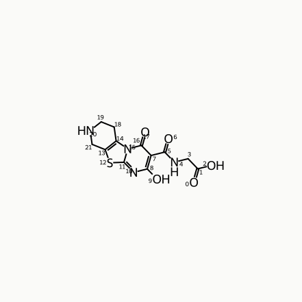 O=C(O)CNC(=O)c1c(O)nc2sc3c(n2c1=O)CCNC3